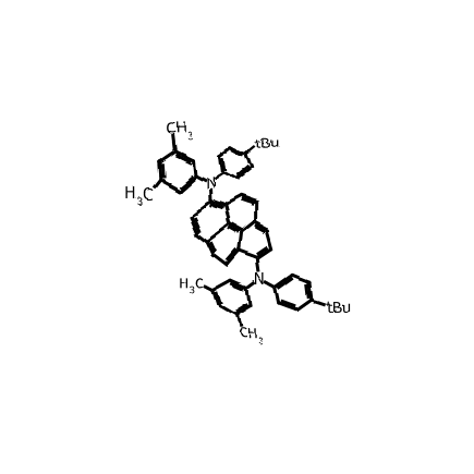 Cc1cc(C)cc(N(c2ccc(C(C)(C)C)cc2)c2ccc3ccc4c(N(c5ccc(C(C)(C)C)cc5)c5cc(C)cc(C)c5)ccc5ccc2c3c54)c1